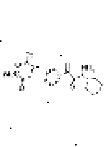 CCC(=O)N[C@H](Cc1ccc(NC(=O)[C@H](N)C2CCCCC2)cc1)C(=O)OC